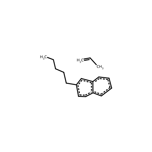 C=CC.CCCCCc1ccc2ccccc2c1